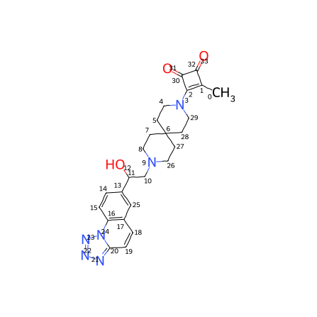 Cc1c(N2CCC3(CCN(CC(O)c4ccc5c(ccc6nnnn65)c4)CC3)CC2)c(=O)c1=O